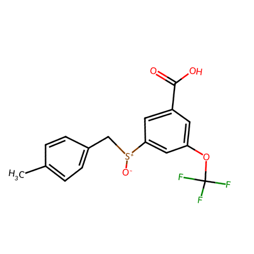 Cc1ccc(C[S+]([O-])c2cc(OC(F)(F)F)cc(C(=O)O)c2)cc1